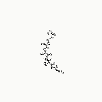 CON=C(C(=O)N[C@H]1C(=O)N(OCC(=O)OCC[Si](C)(C)C)[C@@H]1C)c1csc(N)n1